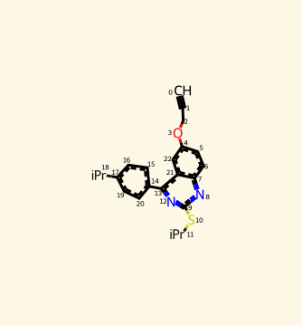 C#CCOc1ccc2nc(SC(C)C)nc(-c3ccc(C(C)C)cc3)c2c1